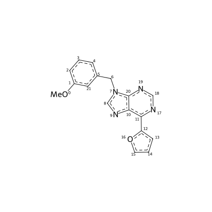 COc1cccc(Cn2cnc3c(-c4ccco4)ncnc32)c1